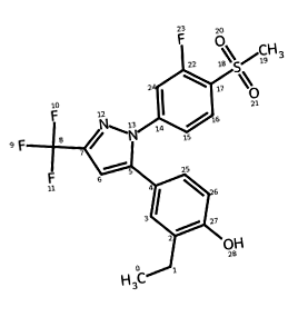 CCc1cc(-c2cc(C(F)(F)F)nn2-c2ccc(S(C)(=O)=O)c(F)c2)ccc1O